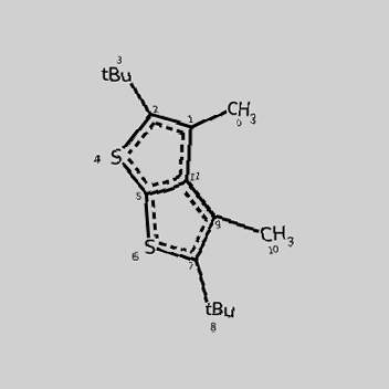 Cc1c(C(C)(C)C)sc2sc(C(C)(C)C)c(C)c12